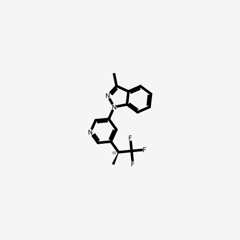 Cc1nn(-c2cncc([C@H](C)C(F)(F)F)c2)c2ccccc12